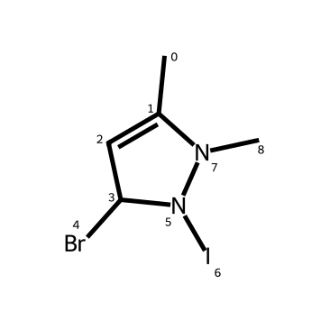 CC1=CC(Br)N(I)N1C